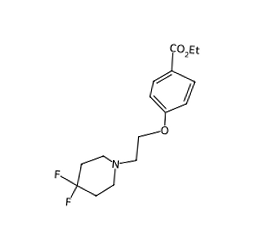 CCOC(=O)c1ccc(OCCN2CCC(F)(F)CC2)cc1